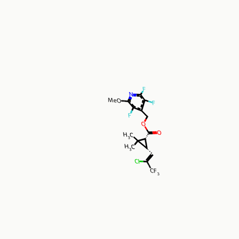 COc1nc(F)c(F)c(COC(=O)[C@@H]2[C@H](C=C(Cl)C(F)(F)F)C2(C)C)c1F